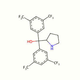 OC(c1cc(C(F)(F)F)cc(C(F)(F)F)c1)(c1cc(C(F)(F)F)cc(C(F)(F)F)c1)C1CCCN1